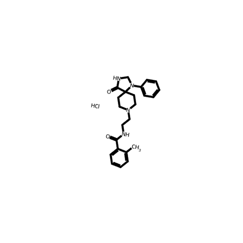 Cc1ccccc1C(=O)NCCN1CCC2(CC1)C(=O)NCN2c1ccccc1.Cl